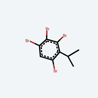 CC(C)c1c(Br)cc(Br)c(Br)c1Br